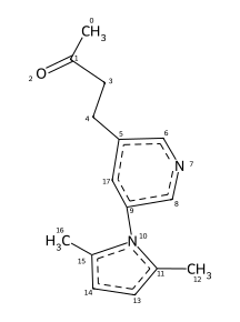 CC(=O)CCc1cncc(-n2c(C)ccc2C)c1